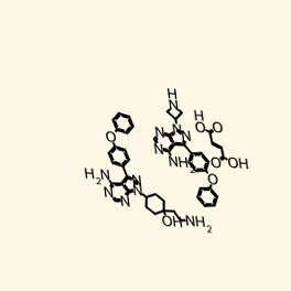 NCCC1(O)CCC(n2nc(-c3ccc(Oc4ccccc4)cc3)c3c(N)ncnc32)CC1.Nc1ncnc2c1c(-c1ccc(Oc3ccccc3)cc1)nn2C1CNC1.O=C(O)C=CC(=O)O